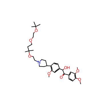 COc1ccc(C(=O)C(O)c2ccc(C3CCN(CCOC(C)(C)CCOCCOC(C)(C)C)CC3)c(OC)c2)cc1OC